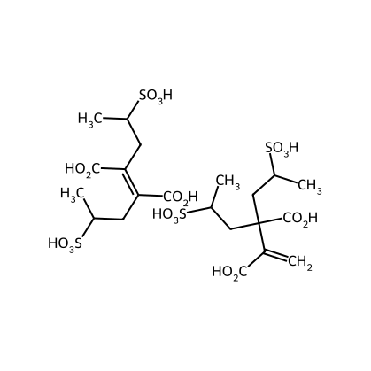 C=C(C(=O)O)C(CC(C)S(=O)(=O)O)(CC(C)S(=O)(=O)O)C(=O)O.CC(C/C(C(=O)O)=C(/CC(C)S(=O)(=O)O)C(=O)O)S(=O)(=O)O